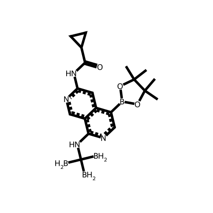 BC(B)(B)Nc1ncc(B2OC(C)(C)C(C)(C)O2)c2cc(NC(=O)C3CC3)ncc12